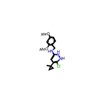 COc1ccc(CNC2=CC(C3(C)CC3)=C(Cl)NN2)c(OC)c1